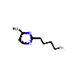 CCCCCc1nccc(C)n1